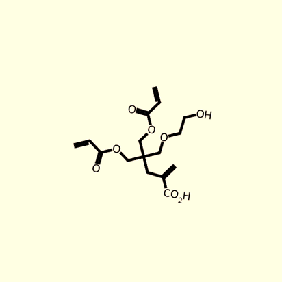 C=CC(=O)OCC(COCCO)(COC(=O)C=C)CC(=C)C(=O)O